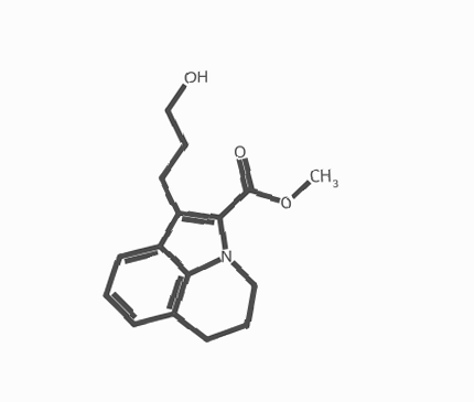 COC(=O)c1c(CCCO)c2cccc3c2n1CCC3